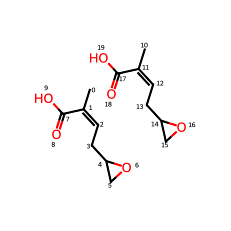 CC(=CCC1CO1)C(=O)O.CC(=CCC1CO1)C(=O)O